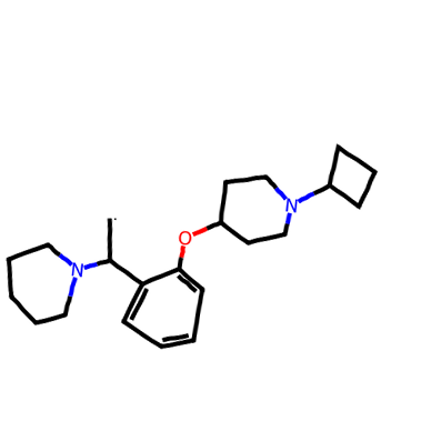 [CH2]C(c1ccccc1OC1CCN(C2CCC2)CC1)N1CCCCC1